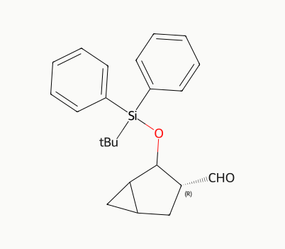 CC(C)(C)[Si](OC1C2CC2C[C@H]1C=O)(c1ccccc1)c1ccccc1